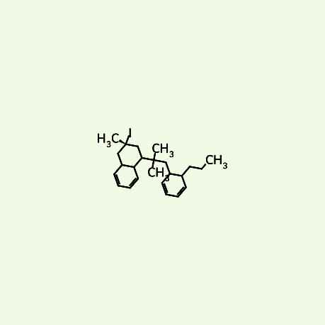 CCCC1C=CC=CC1CC(C)(C)C1C[C@@](C)(I)CC2C=CC=CC21